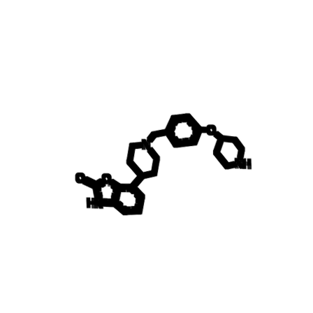 O=c1[nH]c2cccc(C3CCN(Cc4ccc(OC5CCNCC5)cc4)CC3)c2o1